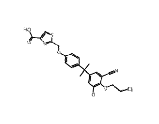 CC(C)(c1ccc(OCc2nc(C(=O)O)cs2)cc1)c1cc(Cl)c(OCCCl)c(C#N)c1